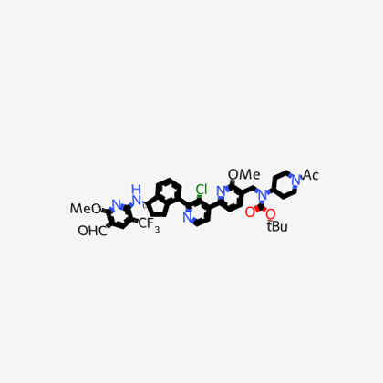 COc1nc(N[C@H]2CCc3c(-c4nccc(-c5ccc(CN(C(=O)OC(C)(C)C)C6CCN(C(C)=O)CC6)c(OC)n5)c4Cl)cccc32)c(C(F)(F)F)cc1C=O